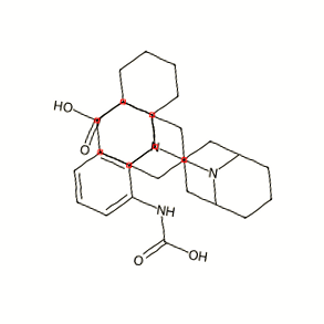 O=C(O)Nc1ccccc1N(C1CC2CCCC(C1)N2C1CC2CCCC(C2)C1)C1CCCCC1C(=O)O